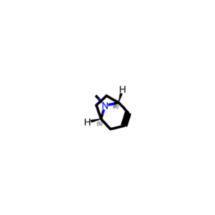 CN1[C@@H]2CC#C[C@H]1CC2